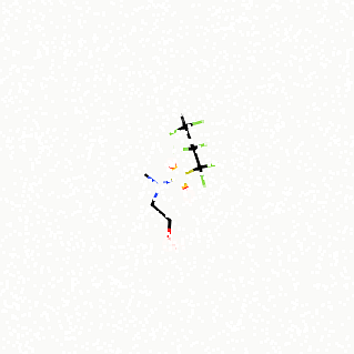 CCN(CCO)S(=O)(=O)C(F)(F)C(F)(F)C(F)(F)C(F)(F)F